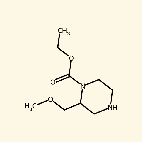 CCOC(=O)N1CCNCC1COC